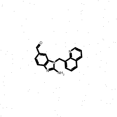 Nc1nc2ccc(C=O)cc2n1Cc1cccc2cccnc12